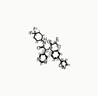 O=C(NC1CCC(F)(F)CC1)[C@H](c1cncnc1)N(C(=O)[C@H](F)Cl)c1ccc(-c2ccno2)cc1